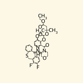 CCOC(=O)CC(C)(C)OC(=O)Oc1c2n(ccc1=O)N([C@@H]1c3ccccc3SCc3c1ccc(F)c3F)[C@@H]1COCCN1C2=O